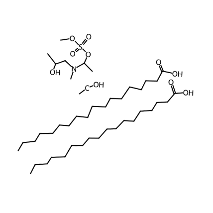 CCCCCCCCCCCCCCCCCC(=O)O.CCCCCCCCCCCCCCCCCC(=O)O.CCO.COS(=O)(=O)OC(C)N(C)CC(C)O